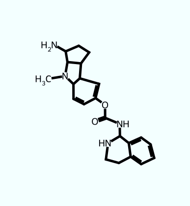 CN1C2C=CC(OC(=O)NC3NCCc4ccccc43)=CC2C2CCC(N)C21